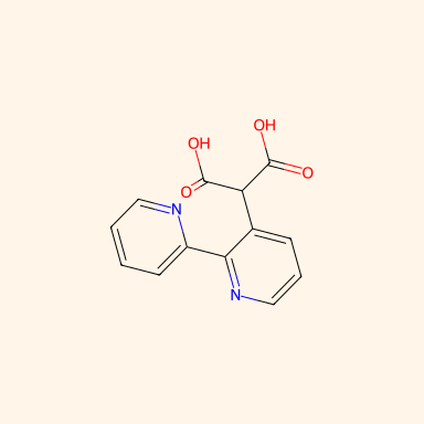 O=C(O)C(C(=O)O)c1cccnc1-c1ccccn1